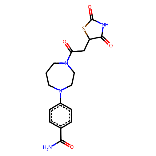 NC(=O)c1ccc(N2CCCN(C(=O)CC3SC(=O)NC3=O)CC2)cc1